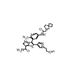 Cc1ncc(NC(=O)CN2CCC3(CCC3)C2)cc1-c1c(-c2cnn(CCO)c2)sc2c(C(N)=O)cnn12